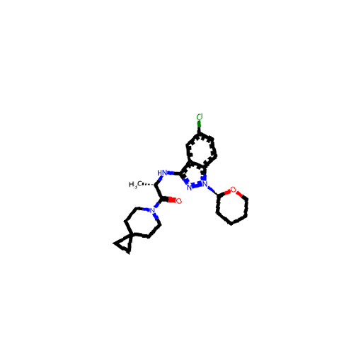 C[C@H](Nc1nn([C@@H]2CCCCO2)c2ccc(Cl)cc12)C(=O)N1CCC2(CC1)CC2